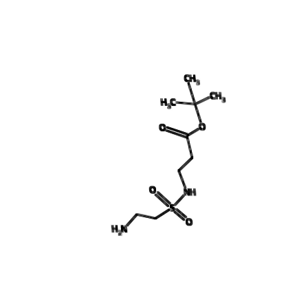 CC(C)(C)OC(=O)CCNS(=O)(=O)CCN